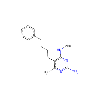 CCCCNc1nc(N)nc(C)c1CCCCc1ccccc1